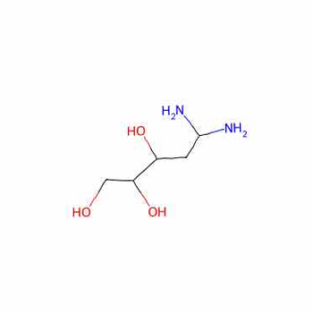 NC(N)CC(O)C(O)CO